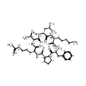 CC(C)C[C@H](NC(=O)[C@@H](NC(=O)[C@H](CCCNC(=N)N)NC(=O)[C@@H]1CCCN1C(=O)[C@@H](N)Cc1ccccc1)C(C)C)C(=O)N[C@@H](CCCCN)C(=O)O